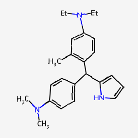 CCN(CC)c1ccc(C(c2ccc(N(C)C)cc2)c2ccc[nH]2)c(C)c1